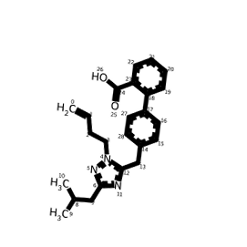 C=CCCn1nc(CC(C)C)nc1Cc1ccc(-c2ccccc2C(=O)O)cc1